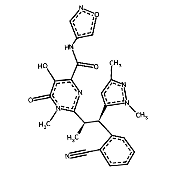 Cc1cc([C@@H](c2ccccc2C#N)[C@@H](C)c2nc(C(=O)Nc3cnoc3)c(O)c(=O)n2C)n(C)n1